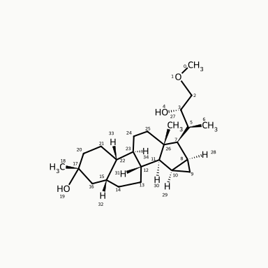 COC[C@@H](O)[C@@H](C)[C@H]1[C@H]2C[C@H]2[C@H]2[C@@H]3CC[C@@H]4C[C@](C)(O)CC[C@@H]4[C@H]3CC[C@@]21C